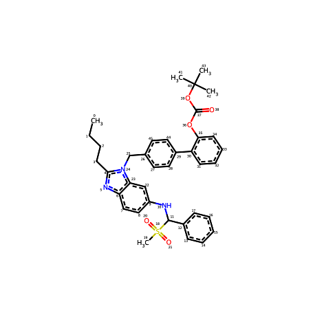 CCCCc1nc2ccc(NC(c3ccccc3)S(C)(=O)=O)cc2n1Cc1ccc(-c2ccccc2OC(=O)OC(C)(C)C)cc1